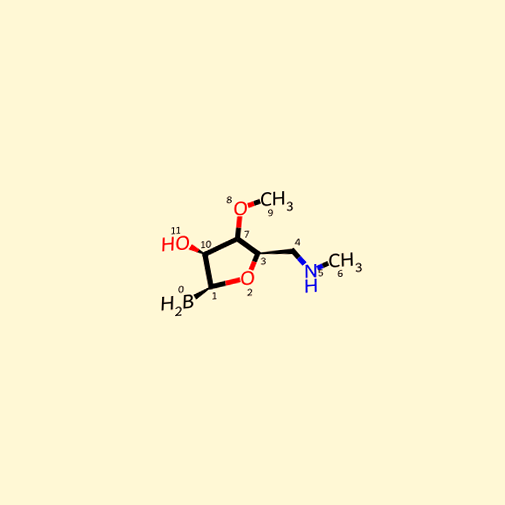 B[C@@H]1O[C@H](CNC)C(OC)[C@@H]1O